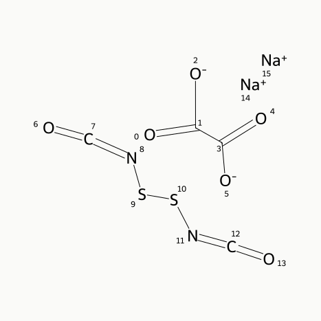 O=C([O-])C(=O)[O-].O=C=NSSN=C=O.[Na+].[Na+]